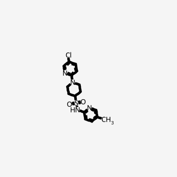 Cc1ccc(NS(=O)(=O)C2CCN(c3ccc(Cl)cn3)CC2)nc1